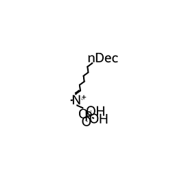 CCCCCCCCCCCCCCCC/C=C/[N+](C)(C)CCOP(=O)(O)O